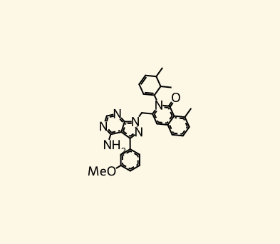 COc1cccc(-c2nn(Cc3cc4cccc(C)c4c(=O)n3C3=CC=CC(C)C3C)c3ncnc(N)c23)c1